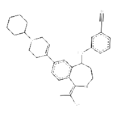 C/C(N)=C1/NCCC(Nc2cccc(C#N)c2)c2cc(C3=CCN(C4CCCCC4)CC3)ccc21